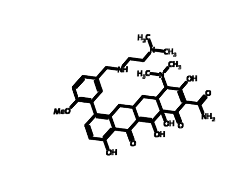 COc1ccc(CNCCN(C)C)cc1-c1ccc(O)c2c1CC1CC3C(N(C)C)C(O)=C(C(N)=O)C(=O)C3(O)C(O)=C1C2=O